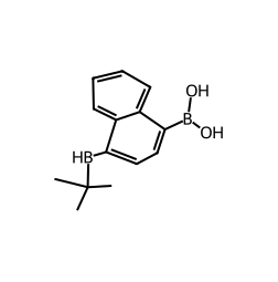 CC(C)(C)Bc1ccc(B(O)O)c2ccccc12